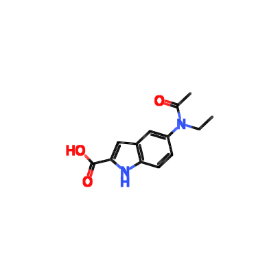 CCN(C(C)=O)c1ccc2[nH]c(C(=O)O)cc2c1